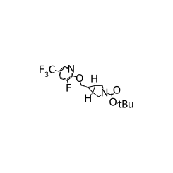 CC(C)(C)OC(=O)N1C[C@@H]2[C@H](COc3ncc(C(F)(F)F)cc3F)[C@@H]2C1